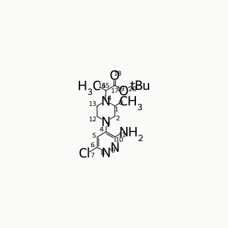 CC1CN(c2cc(Cl)nnc2N)CCN1C(C)C(=O)OC(C)(C)C